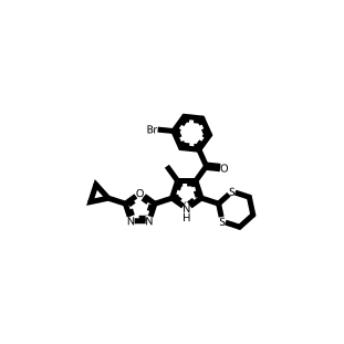 Cc1c(-c2nnc(C3CC3)o2)[nH]c(C2SCCCS2)c1C(=O)c1cccc(Br)c1